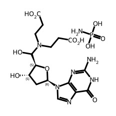 NP(=O)(O)O.Nc1nc2c(ncn2[C@H]2C[C@H](O)[C@@H](C(O)N(CCC(=O)O)CCC(=O)O)O2)c(=O)[nH]1